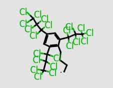 [CH2]CCCc1c(C(Cl)(Cl)C(Cl)(Cl)C(Cl)(Cl)Cl)cc(C(Cl)(Cl)C(Cl)(Cl)C(Cl)(Cl)Cl)cc1C(Cl)(Cl)C(Cl)(Cl)C(Cl)(Cl)Cl